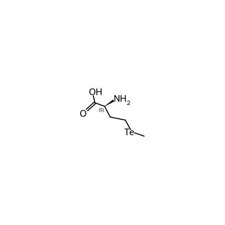 C[Te]CC[C@H](N)C(=O)O